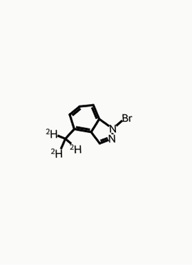 [2H]C([2H])([2H])c1cccc2c1cnn2Br